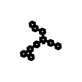 c1ccc(-c2ccc(-c3cc(-c4cccc(-c5ccc6ccccc6c5)c4)nc(-c4ccc(-c5ccc6c7ccccc7c7ccccc7c6c5)cc4)n3)cc2)cc1